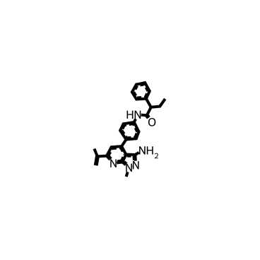 C=C(C)c1cc(-c2ccc(NC(=O)C(CC)c3ccccc3)cc2)c2c(N)nn(C)c2n1